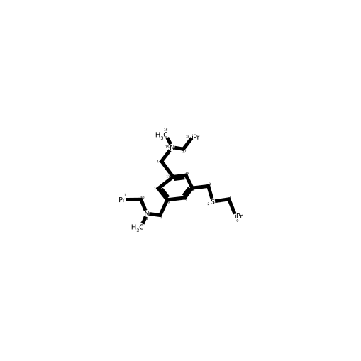 CC(C)CSCc1cc(CN(C)CC(C)C)cc(CN(C)CC(C)C)c1